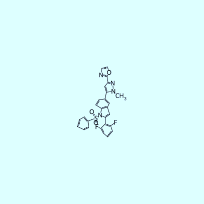 Cn1nc(-c2ncco2)cc1-c1ccc2c(c1)cc(-c1c(F)cccc1F)n2S(=O)(=O)c1ccccc1